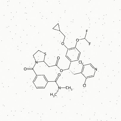 CN(C)C(=O)c1cccc(C(=O)N2CCSC2CC(=O)O[C@@H](Cc2c(Cl)cncc2Cl)c2ccc(OC(F)F)c(OCC3CC3)c2)c1